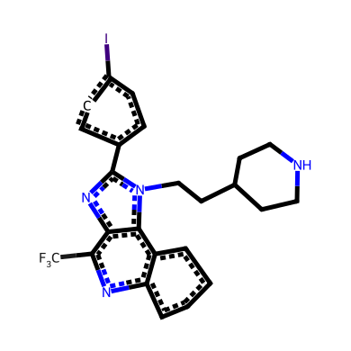 FC(F)(F)c1nc2ccccc2c2c1nc(-c1ccc(I)cc1)n2CCC1CCNCC1